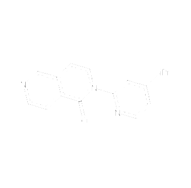 CC(C)c1ccnc(-n2ccc3cnccc3c2=O)c1